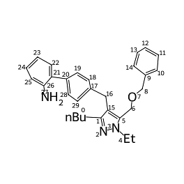 CCCCc1nn(CC)c(COCc2ccccc2)c1Cc1ccc(-c2ccccc2N)cc1